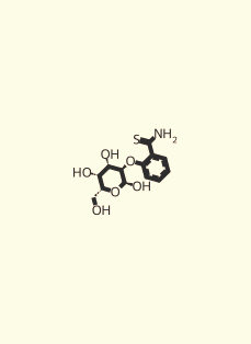 NC(=S)c1ccccc1O[C@@H]1[C@@H](O)[C@@H](O)[C@@H](CO)O[C@@H]1O